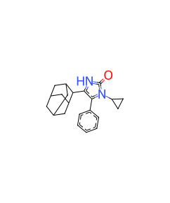 O=c1[nH]c(C2C3CC4CC(C3)CC2C4)c(-c2ccccc2)n1C1CC1